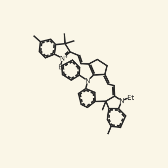 CCN1/C2=C/C=C3\CCC(/C=C/C4=[N+](CC)c5ccc(C)cc5C4(C)C)=C3N(c3ccccc3)c3cccc(c3)C2(C)c2cc(C)ccc21